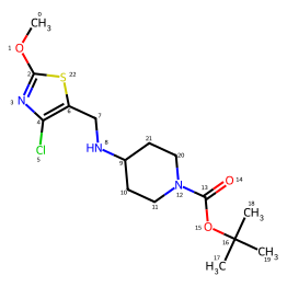 COc1nc(Cl)c(CNC2CCN(C(=O)OC(C)(C)C)CC2)s1